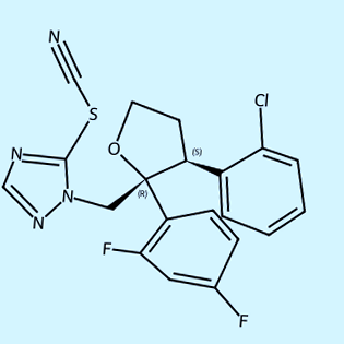 N#CSc1ncnn1C[C@@]1(c2ccc(F)cc2F)OCC[C@H]1c1ccccc1Cl